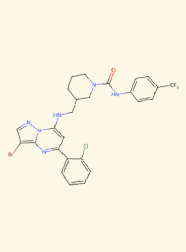 O=C(Nc1ccc(C(F)(F)F)cc1)N1CCCC(CNc2cc(-c3ccccc3Cl)nc3c(Br)cnn23)C1